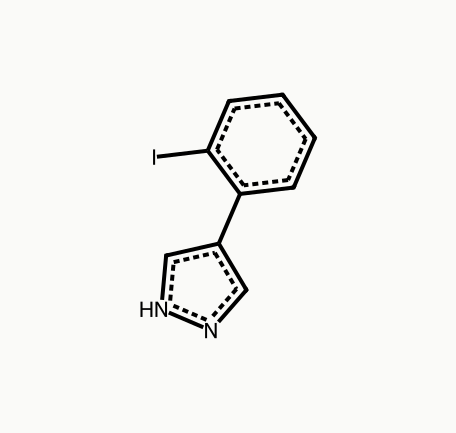 Ic1ccccc1-c1cn[nH]c1